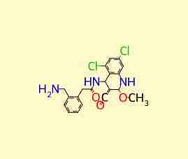 COC1Nc2cc(Cl)cc(Cl)c2C(NC(=O)Cc2ccccc2CN)C1=C=O